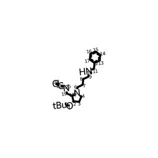 CC(C)(C)OC1CCN(CCCCNCc2ccccc2)C1CN=C=O